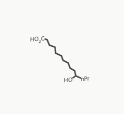 CCCC(O)CCCCCCCCCC(=O)O